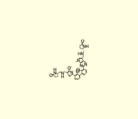 COc1nc(-c2cccc(-c3cccc(-c4ncc5c(CNC[C@@H]6CCC(=O)N6)cn(C)c5n4)c3Cl)c2Cl)ccc1CNC[C@H]1CCC(=O)N1